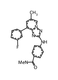 CNC(=O)c1ccc(Nc2nc3c(-c4cccc(F)c4)cc(C)cn3n2)cc1